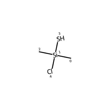 C[Si](C)(S)Cl